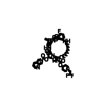 C=C[C@@H]1C[C@@]12NC(=O)[C@@H]1C[C@@H](OC(=O)N3Cc4cccnc4C3)CN1C(=O)[C@@H](NC(=O)OC1CCN(CC(F)F)CC1)CCCCCCCNc1ccc(F)cc1S(=O)(=O)NC2=O